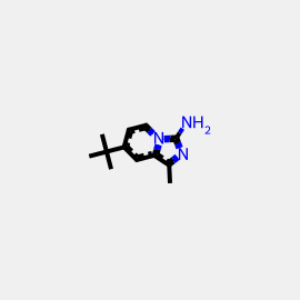 Cc1nc(N)n2ccc(C(C)(C)C)cc12